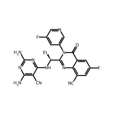 CC[C@H](Nc1nc(N)nc(N)c1C#N)c1nc2c(C#N)cc(F)cc2c(=O)n1-c1cncc(F)c1